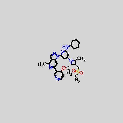 COc1ccncc1-c1cc2c(cnn2-c2cc(N3C[C@H](CS(C)(=O)=O)[C@H]3C)cc(NC3CCCCC3)n2)c(C)n1